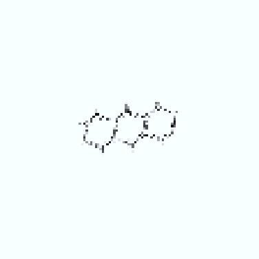 c1ccc2nc3ncccc3nc2c1